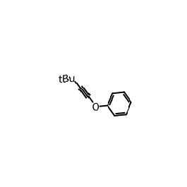 CC(C)(C)C#COc1ccccc1